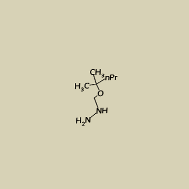 CCCC(C)(C)OCNN